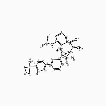 CN1C(=O)c2cccc(OC(F)F)c2[C@H]2C[C@@H]1c1nc3cnc(-c4cnc(C5(N)CCC5)nc4)cc3n12